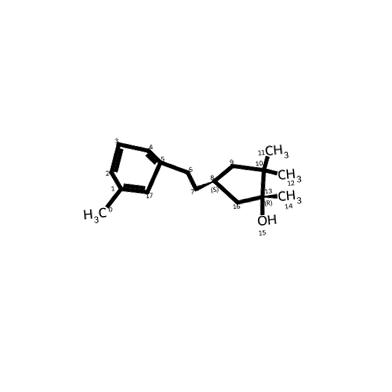 Cc1cccc(CC[C@H]2CC(C)(C)[C@](C)(O)C2)c1